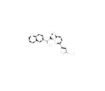 CC1C=C(c2ccc3nnc(C(C)c4ccc5ncccc5c4)n3n2)SN1